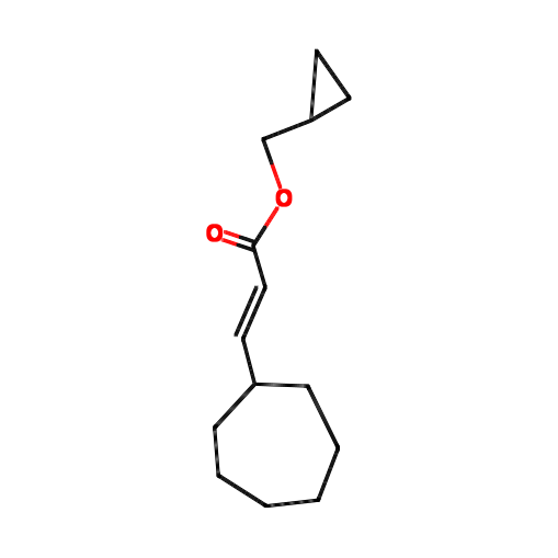 O=C(C=CC1CCCCCC1)OCC1CC1